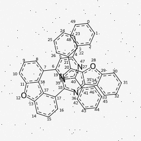 c1ccc(-c2cc(-c3cccc4oc5cccc(-c6nc(-c7ccccc7)c7oc8ccccc8c7n6)c5c34)nc(-c3ccccc3)n2)cc1